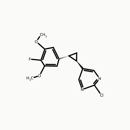 COc1cc([C@@H]2C[C@H]2c2cnc(Cl)nc2)cc(OC)c1F